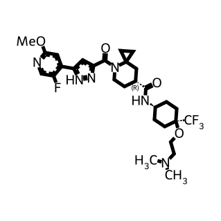 COc1cc(-c2cc(C(=O)N3CC[C@@H](C(=O)N[C@H]4CC[C@@](OCCN(C)C)(C(F)(F)F)CC4)CC34CC4)n[nH]2)c(F)cn1